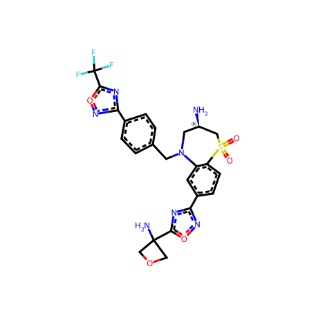 N[C@@H]1CN(Cc2ccc(-c3noc(C(F)(F)F)n3)cc2)c2cc(-c3noc(C4(N)COC4)n3)ccc2S(=O)(=O)C1